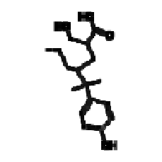 CCCC(CC(CO)C(=O)O)C(C)(C)c1ccc(O)cc1